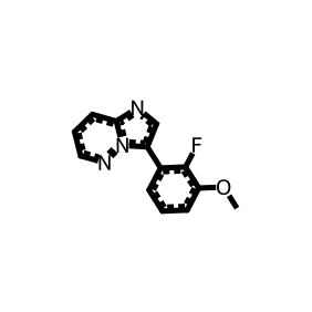 COc1cccc(-c2cnc3cccnn23)c1F